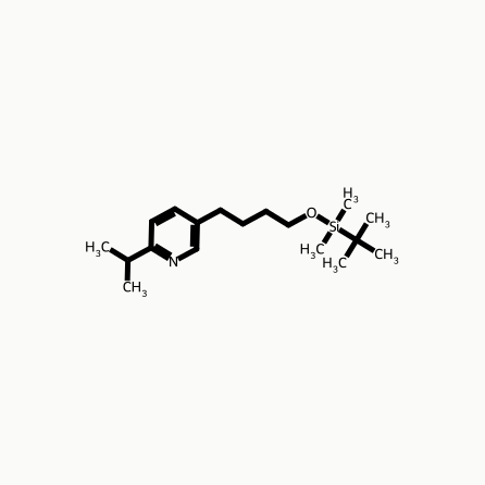 CC(C)c1ccc(CCCCO[Si](C)(C)C(C)(C)C)cn1